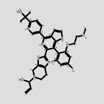 C=CC(O)N1CCc2nc(-c3nc(-c4ccc(C(C)(C)O)nc4)c4ccsc4c3-c3c(F)cc(F)cc3OCCOC)sc2C1